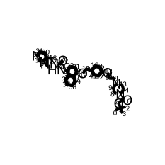 CC(C)(C)OC(=O)N1CCN(CCOc2ccc(COc3ccc(NC(=O)NCc4ccncn4)c4ccccc34)cc2)CC1